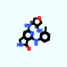 Cc1cccc(Nc2nc(N[C@H]3COC[C@H]3N)cc3c2C(=O)NC3)c1